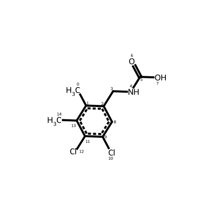 Cc1c(CNC(=O)O)cc(Cl)c(Cl)c1C